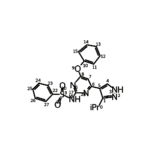 CC(C)c1n[nH]cc1-c1cc(Oc2ccccc2)nc(NS(=O)(=O)c2ccccc2)n1